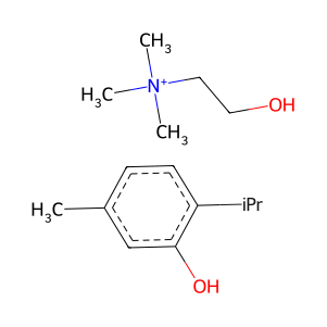 C[N+](C)(C)CCO.Cc1ccc(C(C)C)c(O)c1